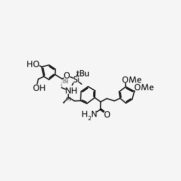 COc1ccc(CCC(C(N)=O)c2cccc(C[C@@H](C)NC[C@@H](O[Si](C)(C)C(C)(C)C)c3ccc(O)c(CO)c3)c2)cc1OC